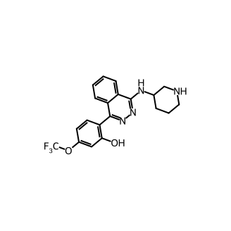 Oc1cc(OC(F)(F)F)ccc1-c1nnc(NC2CCCNC2)c2ccccc12